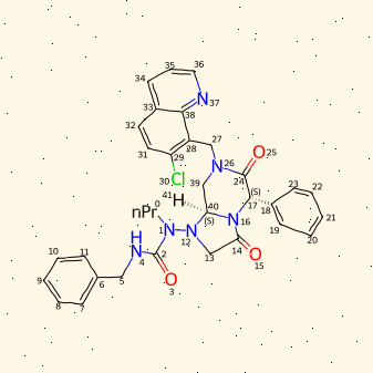 CCCN(C(=O)NCc1ccccc1)N1CC(=O)N2[C@@H](c3ccccc3)C(=O)N(Cc3c(Cl)ccc4cccnc34)C[C@@H]21